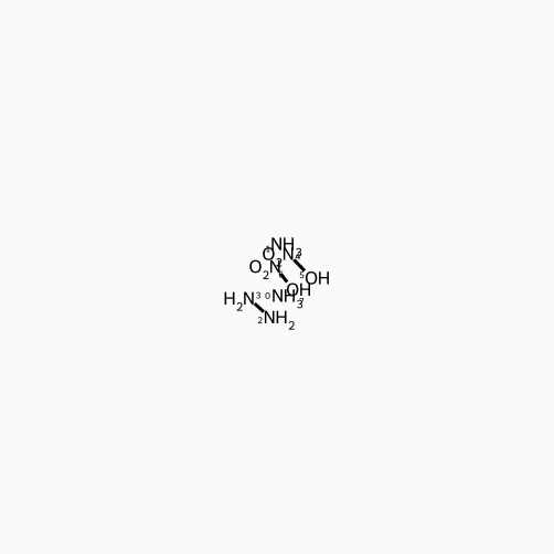 N.N.NN.O=[N+]([O-])O.O=[N+]([O-])O